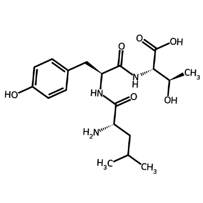 CC(C)C[C@H](N)C(=O)N[C@@H](Cc1ccc(O)cc1)C(=O)N[C@H](C(=O)O)[C@@H](C)O